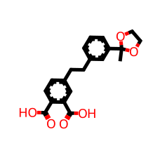 CC1(c2cccc(CCc3ccc(C(=O)O)c(C(=O)O)c3)c2)OCCO1